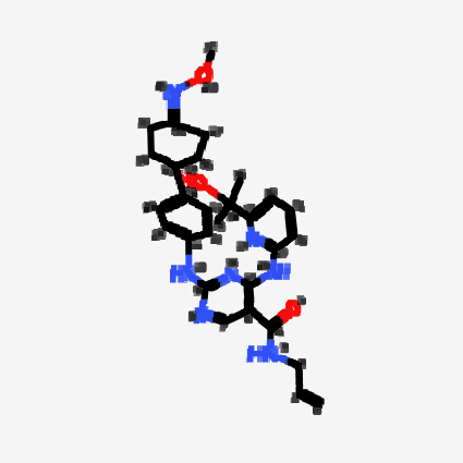 C=CCNC(=O)c1cnc(Nc2ccc(C3CCC(=NOC)CC3)cc2)nc1Nc1cccc(C(C)(C)O)n1